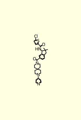 CC1(C)Cc2ccc(C(=O)N3CCC4(CC3)CCN(c3ccncc3)CC4)cc2C1NC(=O)c1ccc(Cl)s1